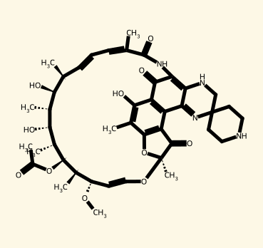 CO[C@H]1/C=C/O[C@@]2(C)Oc3c(C)c(O)c4c(c3C2=O)C2=NC3(CCNCC3)CNC2=C(NC(=O)/C(C)=C\C=C\[C@H](C)[C@H](O)[C@@H](C)[C@@H](O)[C@@H](C)[C@H](OC(C)=O)[C@@H]1C)C4=O